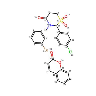 Brc1ccccc1.CN1C(=O)CCS(=O)(=O)C1c1ccc(Cl)cc1.O=c1ccc2ccccc2o1